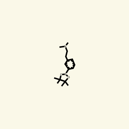 CN(C)CCc1cccc(B2OC(C)(C)C(C)(C)O2)c1